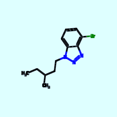 CCC(C)CCn1nnc2c(Br)cccc21